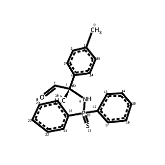 Cc1ccc([C@@](C)(C=O)NP(=S)(c2ccccc2)c2ccccc2)cc1